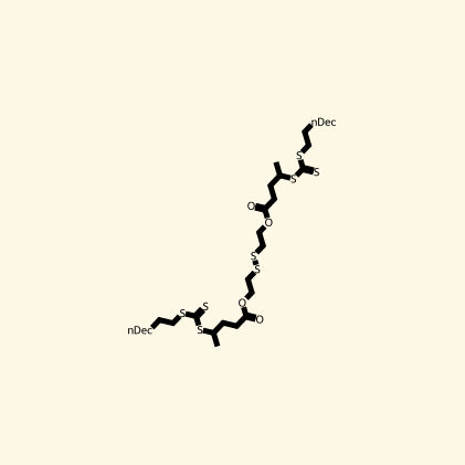 CCCCCCCCCCCCSC(=S)SC(C)CCC(=O)OCCSSCCOC(=O)CCC(C)SC(=S)SCCCCCCCCCCCC